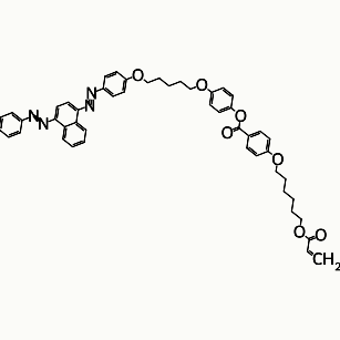 C=CC(=O)OCCCCCCOc1ccc(C(=O)Oc2ccc(OCCCCCOc3ccc(N=Nc4ccc(N=Nc5ccccc5)c5ccccc45)cc3)cc2)cc1